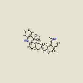 CC\C=C(C)/C(=C(C)\C(C)=C/c1ccc2c3c(ccc2c1)NC1=C(CCCC1)C3(C)C)C1CN1